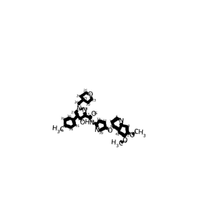 COc1cc2nccc(Oc3ccc(NC(=O)c4nn(CC5CCOCC5)cc(-c5ccc(C)cc5)c4=O)nc3)c2cc1OC